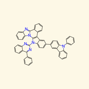 c1ccc(-c2nc(-n3c4ccc(-c5ccc6c(c5)c5ccccc5n6-c5ccccc5)cc4c4c5ccccc5c5nc6ccccc6n5c43)nc3ccccc23)cc1